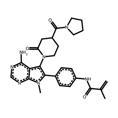 C=C(C)C(=O)Nc1ccc(-c2c(N3CCC(C(=O)N4CCCC4)CC3=O)c3c(N)ncnc3n2C)cc1